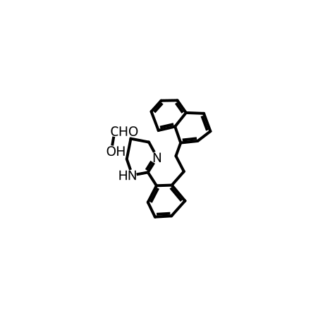 O=CO.c1ccc(C2=NCCCN2)c(CCc2cccc3ccccc23)c1